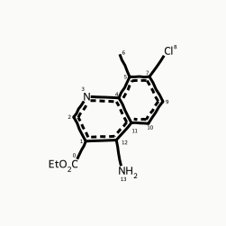 CCOC(=O)c1cnc2c(C)c(Cl)ccc2c1N